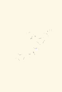 CC(=O)Oc1ccc(/C=C/C(=O)OCc2ccc(C)cc2)cc1OC(C)=O